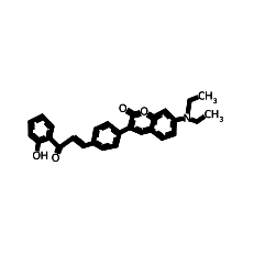 CCN(CC)c1ccc2cc(-c3ccc(C=CC(=O)c4ccccc4O)cc3)c(=O)oc2c1